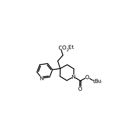 CCOC(=O)CCC1(c2cccnc2)CCN(C(=O)OC(C)(C)C)CC1